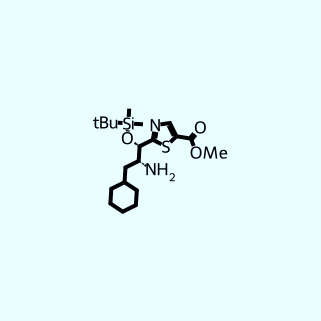 COC(=O)c1cnc([C@@H](O[Si](C)(C)C(C)(C)C)[C@H](N)CC2CCCCC2)s1